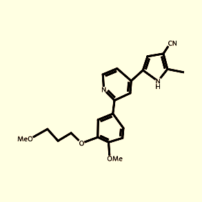 COCCCOc1cc(-c2cc(-c3cc(C#N)c(C)[nH]3)ccn2)ccc1OC